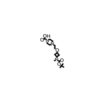 CN(C(=O)OC(C)(C)C)C1CC(OCCN2CCN(C(=O)O)CC2)C1